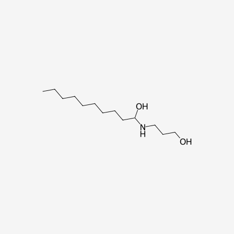 CCCCCCCCCC(O)NCCCO